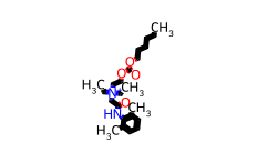 CCCCCCOC(=O)OCC[N+](CC)(CC)CC(=O)Nc1c(C)cccc1C